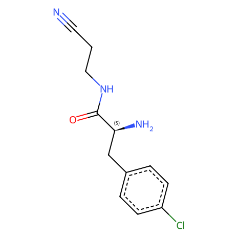 N#CCCNC(=O)[C@@H](N)Cc1ccc(Cl)cc1